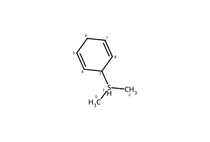 C[SH](C)C1C=CCC=C1